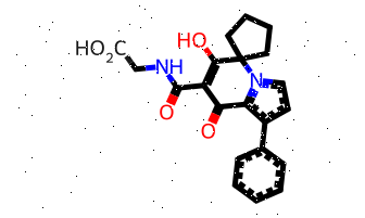 O=C(O)CNC(=O)C1=C(O)C2(CCCC2)n2ccc(-c3ccccc3)c2C1=O